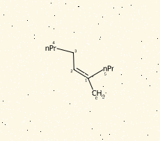 [CH2]/C(=C/CCCC)CCC